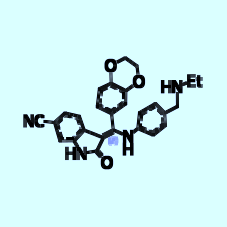 CCNCc1ccc(N/C(=C2\C(=O)Nc3cc(C#N)ccc32)c2ccc3c(c2)OCCO3)cc1